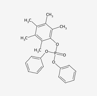 Cc1c(C)c(C)c(OP(=O)(Oc2ccccc2)Oc2ccccc2)c(C)c1C